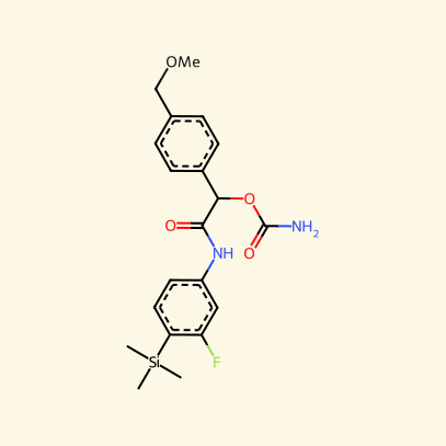 COCc1ccc(C(OC(N)=O)C(=O)Nc2ccc([Si](C)(C)C)c(F)c2)cc1